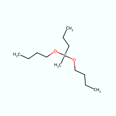 CCCCO[Si](C)(CCC)OCCCC